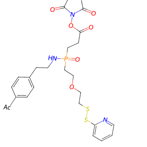 CC(=O)c1ccc(CCNP(=O)(CCOCCSSc2ccccn2)CCC(=O)ON2C(=O)CCC2=O)cc1